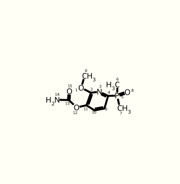 COc1nc(P(C)(C)=O)ccc1OC(N)=O